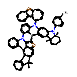 CC(C)(C)c1ccc(N2c3cc4c(cc3C3(C)CCCCC23C)B2c3sc5cc6c(c7c5c3N(c3ccccc3-7)c3cccc(c32)N4c2cccc3sc4ccccc4c23)-c2ccccc2C6(C)C)cc1